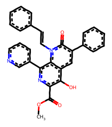 COC(=O)c1nc(-c2cccnc2)c2c(cc(-c3ccccc3)c(=O)n2C=Cc2ccccc2)c1O